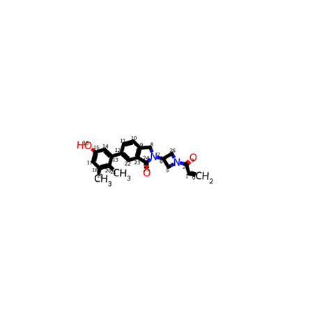 C=CC(=O)N1CC(N2Cc3ccc(-c4cc(O)cc(C)c4C)cc3C2=O)C1